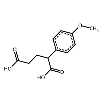 COc1ccc(C(CCC(=O)O)C(=O)O)cc1